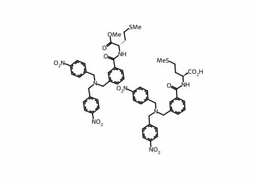 COC(=O)[C@H](CCSC)NC(=O)c1cccc(CN(Cc2ccc([N+](=O)[O-])cc2)Cc2ccc([N+](=O)[O-])cc2)c1.CSCC[C@H](NC(=O)c1cccc(CN(Cc2ccc([N+](=O)[O-])cc2)Cc2ccc([N+](=O)[O-])cc2)c1)C(=O)O